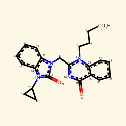 O=C(O)CCCn1c(Cn2c(=O)n(C3CC3)c3ccccc32)nc(=O)c2ccccc21